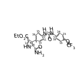 CCOC(=O)c1c[nH]c(C(N)=O)c1-c1ccc(NC(=O)Nc2ccc(OC(F)(F)F)cc2)cc1